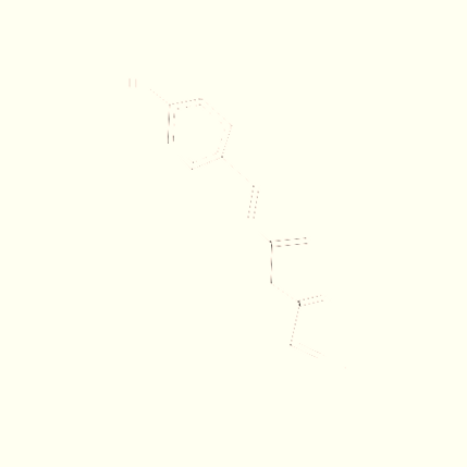 C=CC(=O)CC(=O)C=Cc1ccc(O)cc1